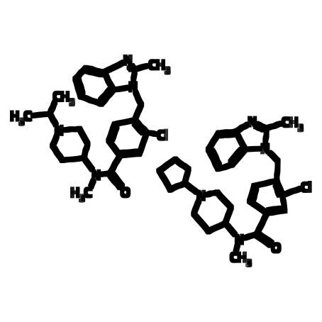 Cc1nc2ccccc2n1Cc1ccc(C(=O)N(C)C2CCN(C(C)C)CC2)cc1Cl.Cc1nc2ccccc2n1Cc1ccc(C(=O)N(C)C2CCN(C3CCCC3)CC2)cc1Cl